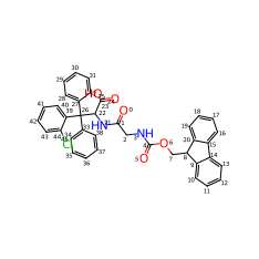 O=C(CNC(=O)OCC1c2ccccc2-c2ccccc21)NC(C(=O)O)C(c1ccccc1)(c1ccccc1)c1ccccc1Cl